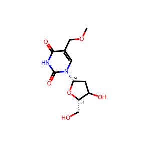 COCc1cn([C@@H]2CC(O)[C@H](CO)O2)c(=O)[nH]c1=O